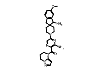 COc1ccc2c(c1)C(N)C1(CCN(c3cnc(C(=O)N4CCCn5nccc54)c(N)n3)CC1)C2